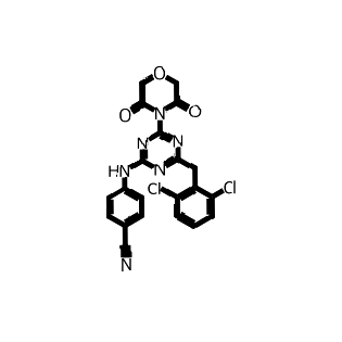 N#Cc1ccc(Nc2nc(Cc3c(Cl)cccc3Cl)nc(N3C(=O)COCC3=O)n2)cc1